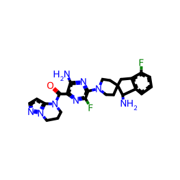 Nc1nc(N2CCC3(CC2)Cc2c(F)cccc2C3N)c(F)nc1C(=O)N1CCCn2nccc21